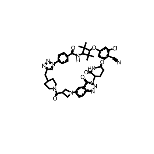 CC1(C)C(NC(=O)c2ccc(-n3cc(CC4CCN(C(=O)C5CN(c6ccc7nnn(C8CCC(=O)NC8=O)c(=O)c7c6)C5)CC4)nn3)cc2)C(C)(C)C1Oc1ccc(C#N)c(Cl)c1